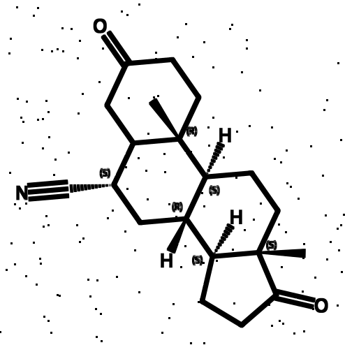 C[C@]12CCC(=O)CC1[C@@H](C#N)C[C@@H]1[C@@H]2CC[C@]2(C)C(=O)CC[C@@H]12